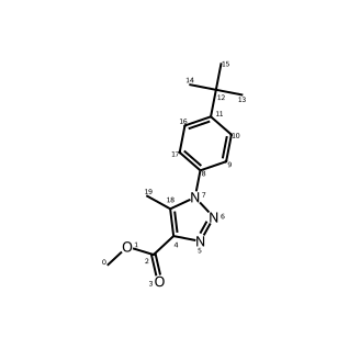 COC(=O)c1nnn(-c2ccc(C(C)(C)C)cc2)c1C